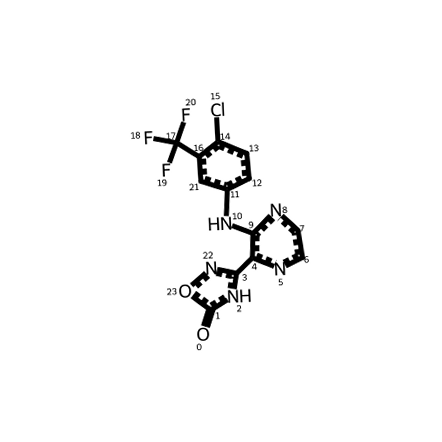 O=c1[nH]c(-c2nccnc2Nc2ccc(Cl)c(C(F)(F)F)c2)no1